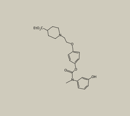 CCOC(=O)C1CCN(CCOc2ccc(OC(=O)N(C)c3cccc(O)c3)cc2)CC1